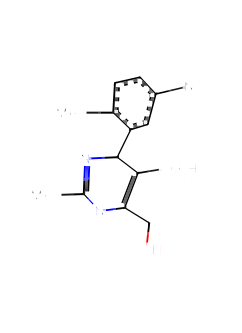 CSC1=NC(c2cc([N+](=O)[O-])ccc2SC)C(C(=O)O)=C(CO)N1